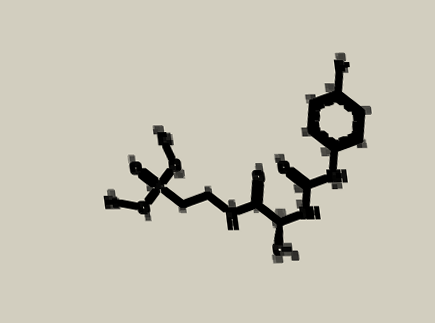 CCOP(=O)(CCNC(=O)[C@H](C)NC(=O)Nc1ccc(Br)cc1)OCC